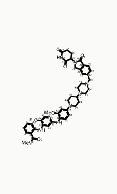 CNC(=O)c1ccccc1Nc1cc(Nc2ccc(N3CCC(N4CCN(Cc5ccc6c(c5)CN(C5CCC(=O)NC5=O)C6=O)CC4)CC3)cc2OC)ncc1C(F)(F)F